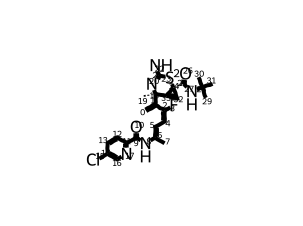 C=C(/C(F)=C\C=C(/C)NC(=O)c1ccc(Cl)cn1)[C@@]1(C)N=C(N)S[C@@]2(C(=O)NC(C)(C)C)C=C12